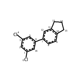 Clc1cc(Cl)cc(-c2ccc3c(c2)CCC3)c1